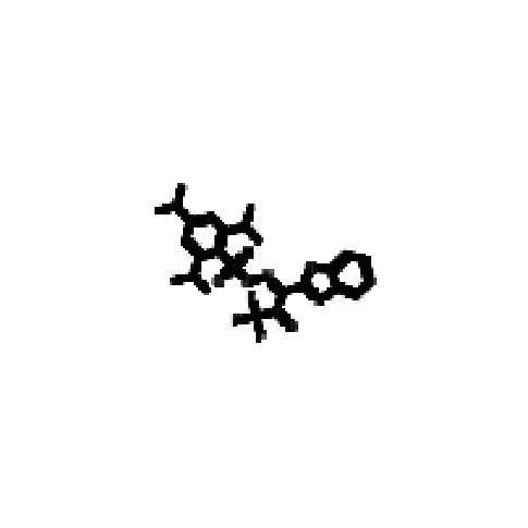 CC(C)c1cc(C(C)C)c(S(=O)(=O)O/N=C(\C(=O)C(F)(F)F)c2nc3ccccc3o2)c(C(C)C)c1